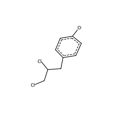 [O]c1ccc(CC(Cl)CCl)cc1